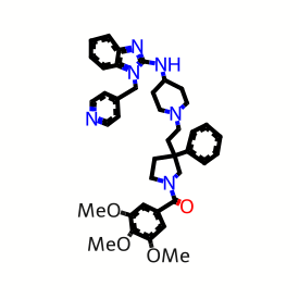 COc1cc(C(=O)N2CCC(CCN3CCC(Nc4nc5ccccc5n4Cc4ccncc4)CC3)(c3ccccc3)C2)cc(OC)c1OC